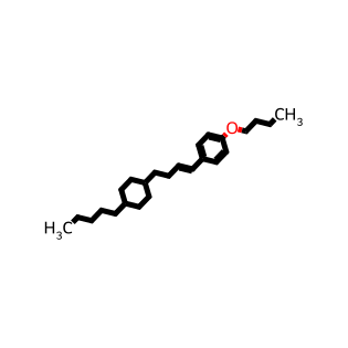 CCCCCC1CCC(CCC=Cc2ccc(OCCCC)cc2)CC1